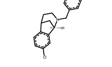 Clc1ccc2c(c1)[C@H]1CC2CCN1Cc1ccccc1